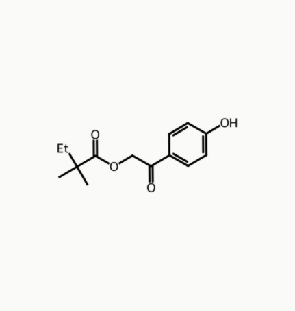 CCC(C)(C)C(=O)OCC(=O)c1ccc(O)cc1